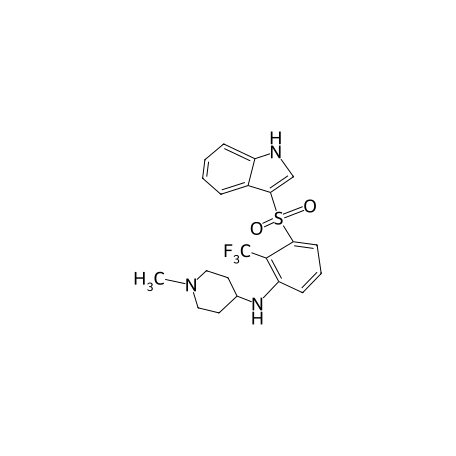 CN1CCC(Nc2cccc(S(=O)(=O)c3c[nH]c4ccccc34)c2C(F)(F)F)CC1